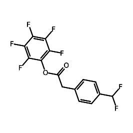 O=C(Cc1ccc(C(F)F)cc1)Oc1c(F)c(F)c(F)c(F)c1F